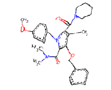 COc1ccc(-n2c(C(=O)N3CCCCC3)c(C)c(OCc3ccccc3)c2C(=O)N(C)C)cc1